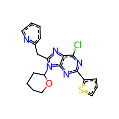 Clc1nc(-c2cccs2)nc2c1nc(Cc1ccccn1)n2C1CCCCO1